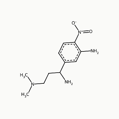 CN(C)CCC(N)c1ccc([N+](=O)[O-])c(N)c1